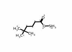 CC(C)(C)CCCC(=O)O[SiH3]